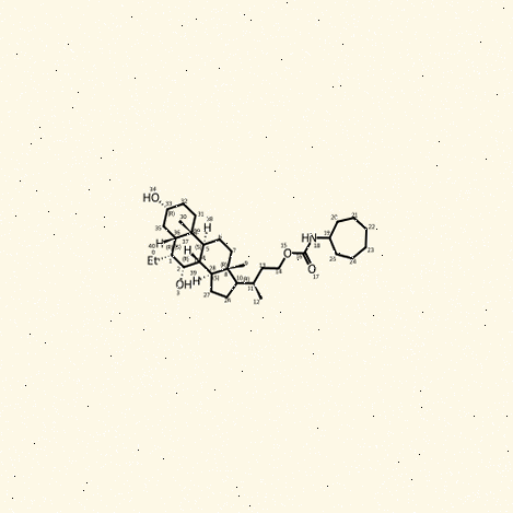 CC[C@H]1[C@@H](O)[C@@H]2[C@H](CC[C@]3(C)C([C@H](C)CCOC(=O)NC4CCCCCC4)CC[C@@H]23)[C@@]2(C)CC[C@@H](O)C[C@@H]12